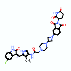 Cc1c(NC(=O)CN2CCN(C3CN(c4ccc5c(c4)C(=O)N(C4CCC(=O)NC4=O)C5=O)C3)CC2)c[nH]c1/C=C1\C(=O)Nc2ccc(F)cc21